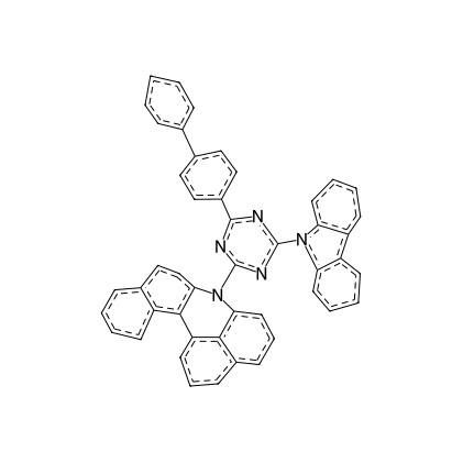 c1ccc(-c2ccc(-c3nc(N4c5ccc6ccccc6c5-c5cccc6cccc4c56)nc(-n4c5ccccc5c5ccccc54)n3)cc2)cc1